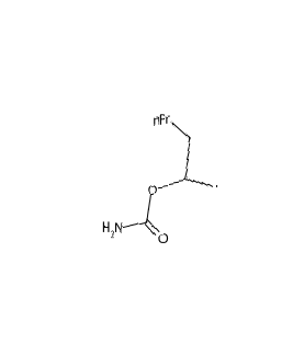 [CH2]C(CCCC)OC(N)=O